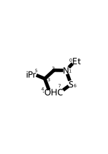 CCN(CC(C)C(C)C)S[C]=O